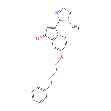 Cc1scnc1C1=CC(=O)c2cc(OCCCCc3ccccc3)ccc21